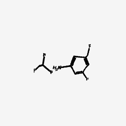 FC(F)F.Nc1cc(F)cc(F)c1